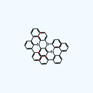 c1ccc(-c2cccc(-c3ccccc3)c2N2c3ccccc3B3c4ccccc4N(c4c(-c5ccccc5)cccc4-c4ccccc4)c4cccc2c43)cc1